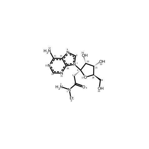 CCN(N)C(=O)C[C@@]1(n2cnc3c(N)ncnc32)O[C@H](CO)[C@@H](O)[C@H]1O